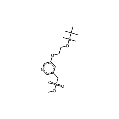 COS(=O)(=O)Cc1cncc(OCCO[Si](C)(C)C(C)(C)C)c1